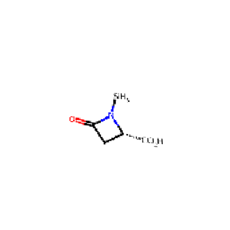 O=C(O)[C@@H]1CC(=O)N1[SiH3]